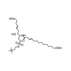 CCCCCCCCCCCCC=CC[C@@H](O)[C@H](COP(=O)([O-])OCC[N+](C)(C)C)NC(=O)CC=CCCCCCCCCCCCCCCCCCCC